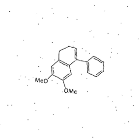 COc1cc2c(cc1OC)C(c1ccccc1)=CCC2